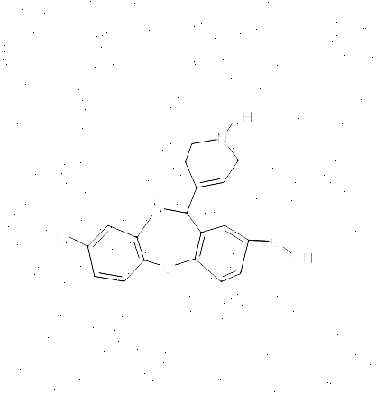 COc1ccc2c(c1)C(C1=CCN(C)CC1)Nc1cc(Cl)ccc1O2